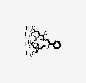 CC[N+](CC)(CC)CCOC(CNC(=O)[C@@H](Br)CC(C)C)c1ccccc1